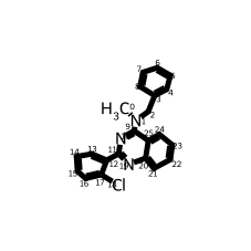 CN(Cc1ccccc1)c1nc(-c2ccccc2Cl)nc2ccccc12